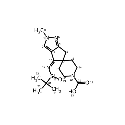 Cn1cc2c(n1)CC1(CCN(C(=O)O)CC1)/C2=N\[S+]([O-])C(C)(C)C